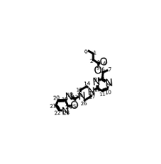 CCCC(=O)OC(C)c1nccc(N2CCN(c3nc4cccnc4o3)CC2)n1